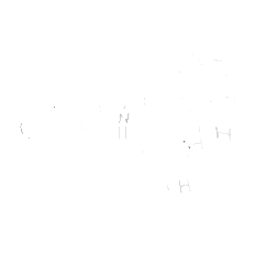 C=CCCN/C=C(C(=N)/C=C\C)/C(C=C)=C(\C)CC